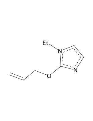 C=CCOc1nccn1CC